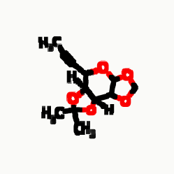 CC#CC1OC2OCOC2[C@@H]2OC(C)(C)O[C@H]12